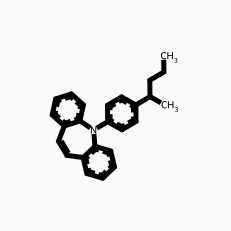 CCCC(C)c1ccc(N2c3ccccc3C=Cc3ccccc32)cc1